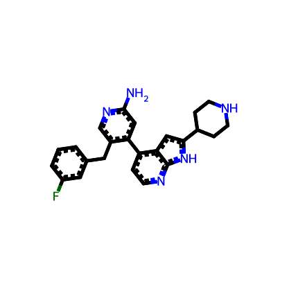 Nc1cc(-c2ccnc3[nH]c(C4CCNCC4)cc23)c(Cc2cccc(F)c2)cn1